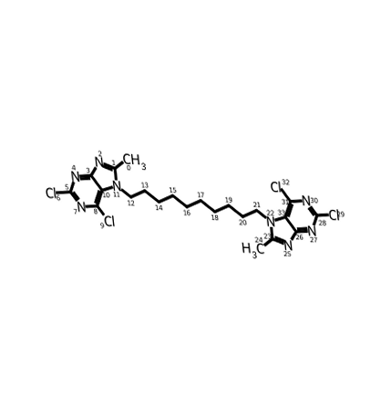 Cc1nc2nc(Cl)nc(Cl)c2n1CCCCCCCCCCn1c(C)nc2nc(Cl)nc(Cl)c21